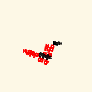 CC(=O)[O-].CC(=O)[O-].CC(=O)[O-].O.O.O.O.O.O.[Eu+3]